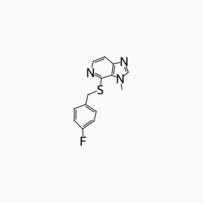 Cn1cnc2ccnc(SCc3ccc(F)cc3)c21